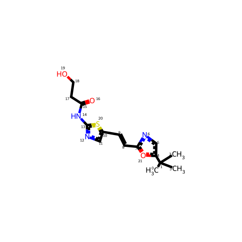 CC(C)(C)c1cnc(/C=C/c2cnc(NC(=O)CCO)s2)o1